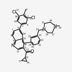 Cc1c(Cl)cc(-c2ccc3ncc(C(=O)C4CC4)c(-c4cccc(CN5CCN(C)CC5)c4)c3c2)cc1Cl